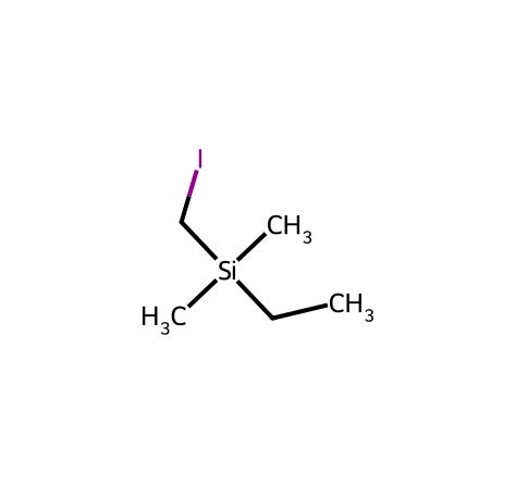 CC[Si](C)(C)CI